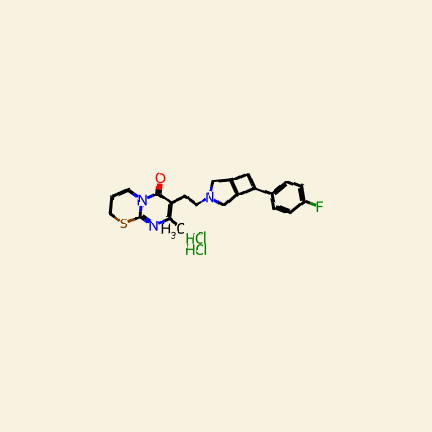 Cc1nc2n(c(=O)c1CCN1CC3CC(c4ccc(F)cc4)C3C1)CCCS2.Cl.Cl